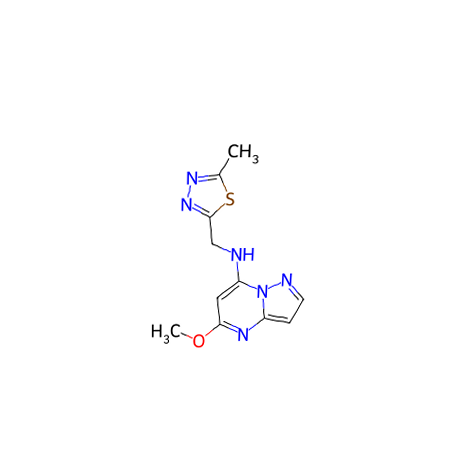 COc1cc(NCc2nnc(C)s2)n2nccc2n1